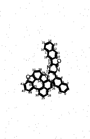 c1ccc2cc(-c3nc4oc5cc6ccccc6cc5c4nc3-n3c4ccc5cccc6c5c4c4c5c(ccc43)oc3cccc-6c35)ccc2c1